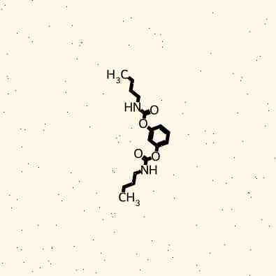 CCCCNC(=O)Oc1cccc(OC(=O)NCCCC)c1